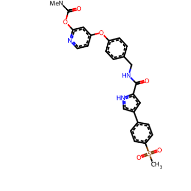 CNC(=O)Oc1cc(Oc2ccc(CNC(=O)c3cc(-c4ccc(S(C)(=O)=O)cc4)c[nH]3)cc2)ccn1